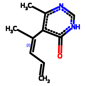 C=C/C=C(/C)c1c(C)nc[nH]c1=O